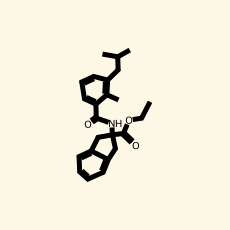 CCOC(=O)C1(NC(=O)c2cccc(CC(C)C)c2C)Cc2ccccc2C1